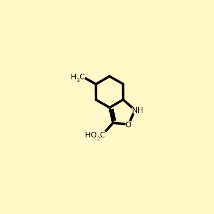 CC1CCC2NOC(C(=O)O)=C2C1